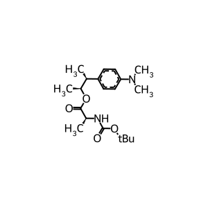 C[C@H](NC(=O)OC(C)(C)C)C(=O)O[C@@H](C)[C@@H](C)c1ccc(N(C)C)cc1